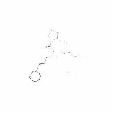 Cl.Cl.N#C[C@@H]1CCCN1C(=O)[C@H](CCCCN)NCC=Cc1ccccc1